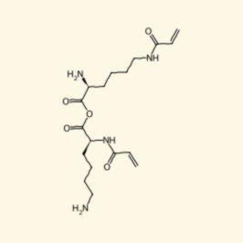 C=CC(=O)NCCCC[C@H](N)C(=O)OC(=O)[C@H](CCCCN)NC(=O)C=C